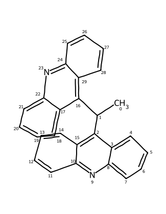 CC(c1c2ccccc2nc2ccccc12)c1c2ccccc2nc2ccccc12